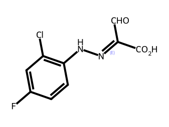 O=C/C(=N\Nc1ccc(F)cc1Cl)C(=O)O